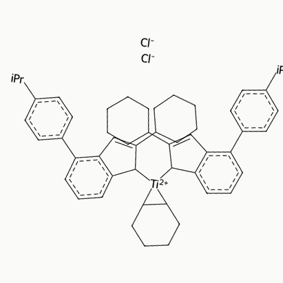 CC(C)c1ccc(-c2cccc3c2C=C(C2CCCCC2)[CH]3[Ti+2]2([CH]3C(C4CCCCC4)=Cc4c(-c5ccc(C(C)C)cc5)cccc43)[CH]3CCCC[CH]32)cc1.[Cl-].[Cl-]